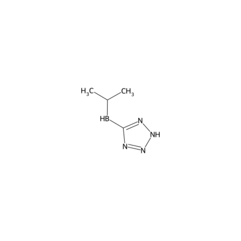 CC(C)Bc1nn[nH]n1